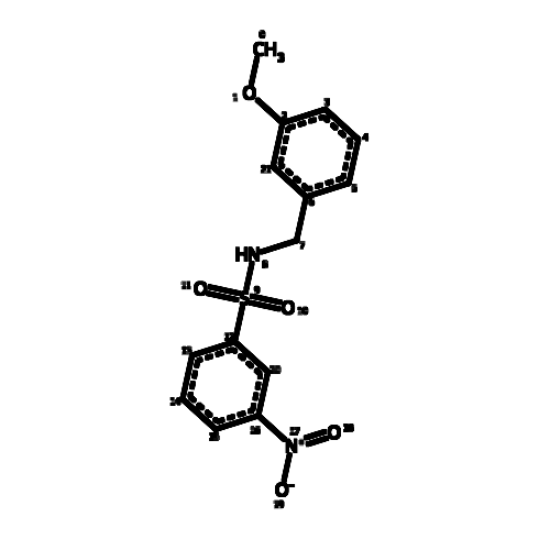 COc1cccc(CNS(=O)(=O)c2cccc([N+](=O)[O-])c2)c1